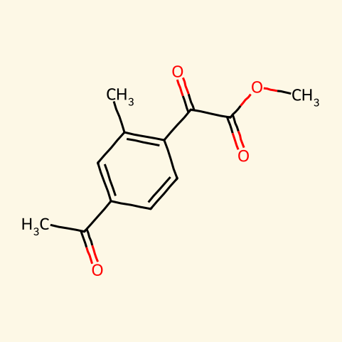 COC(=O)C(=O)c1ccc(C(C)=O)cc1C